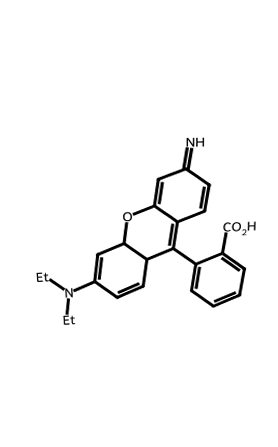 CCN(CC)C1=CC2OC3=CC(=N)C=CC3=C(c3ccccc3C(=O)O)C2C=C1